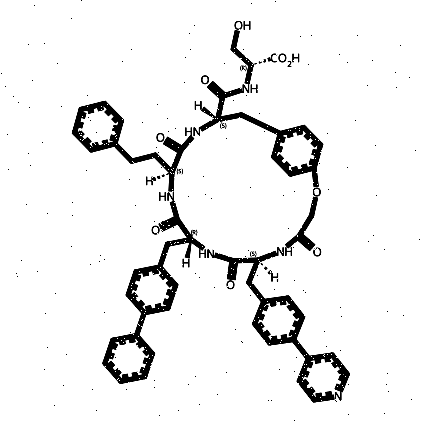 O=C1COc2ccc(cc2)C[C@@H](C(=O)N[C@H](CO)C(=O)O)NC(=O)[C@H](CCc2ccccc2)NC(=O)[C@@H](Cc2ccc(-c3ccccc3)cc2)NC(=O)[C@H](Cc2ccc(-c3ccncc3)cc2)N1